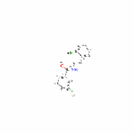 O=C(NCCc1ccccc1F)c1cccc(Cl)c1